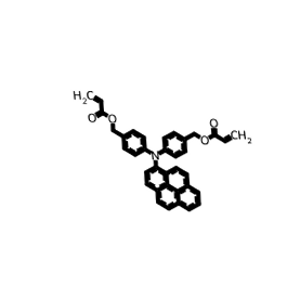 C=CC(=O)OCc1ccc(N(c2ccc(COC(=O)C=C)cc2)c2ccc3ccc4cccc5ccc2c3c45)cc1